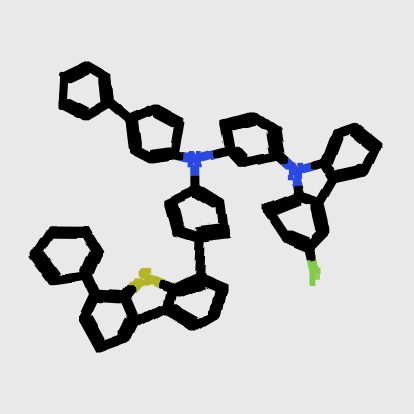 Fc1ccc2c(c1)c1ccccc1n2-c1cccc(N(c2ccc(-c3ccccc3)cc2)c2ccc(-c3cccc4c3sc3c(-c5ccccc5)cccc34)cc2)c1